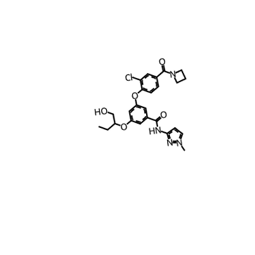 CCC(CO)Oc1cc(Oc2ccc(C(=O)N3CCC3)cc2Cl)cc(C(=O)Nc2ccn(C)n2)c1